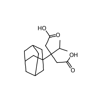 CC(C)C(CC(=O)O)(CC(=O)O)C12CC3CC(CC(C3)C1)C2